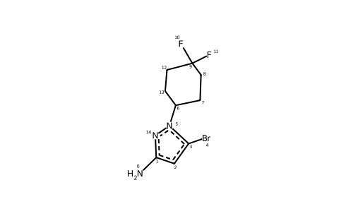 Nc1cc(Br)n(C2CCC(F)(F)CC2)n1